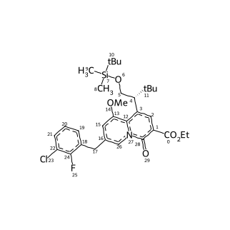 CCOC(=O)c1cc([C@H](CO[Si](C)(C)C(C)(C)C)C(C)(C)C)c2c(OC)cc(Cc3cccc(Cl)c3F)cn2c1=O